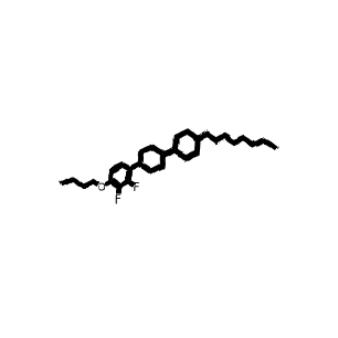 CCCCCCCCC1CCC(C2CCC(c3ccc(OCCCC)c(F)c3F)CC2)CC1